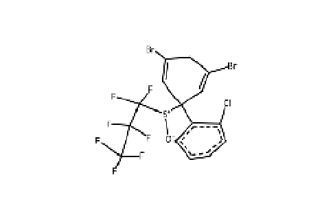 [O-][S+](C1(c2ccccc2Cl)C=C(Br)[CH]C(Br)=C1)C(F)(F)C(F)(F)C(F)(F)F